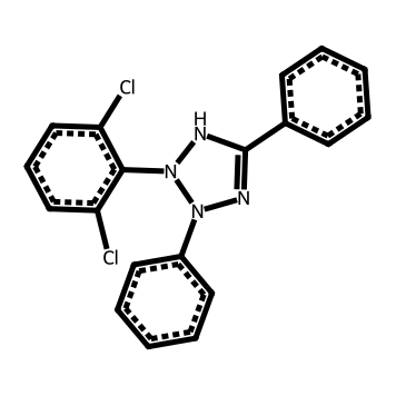 Clc1cccc(Cl)c1N1NC(c2ccccc2)=NN1c1ccccc1